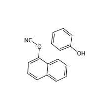 N#COc1cccc2ccccc12.Oc1ccccc1